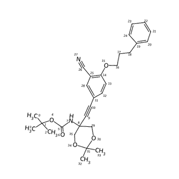 CC(C)(C)OC(=O)NC1(C#Cc2ccc(OCCCc3ccccc3)c(C#N)c2)COC(C)(C)OC1